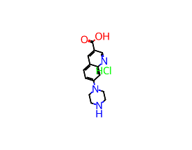 Cl.O=C(O)c1cnc2cc(N3CCNCC3)ccc2c1